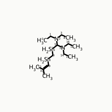 CCN(CC)C([SiH2]C[SiH2]C=C(C)C)N(CC)CC